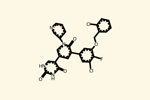 O=c1[nH]cc(-c2cc(-c3cc(Cl)c(F)c(OCc4ccccc4Cl)c3)c(=O)n(-c3cccnc3)c2)c(=O)[nH]1